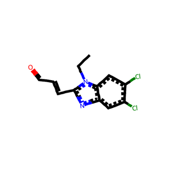 CCn1c(C=CC=O)nc2cc(Cl)c(Cl)cc21